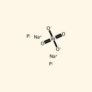 [Na+].[Na+].[O]=[W](=[O])([O-])[O-].[P].[P]